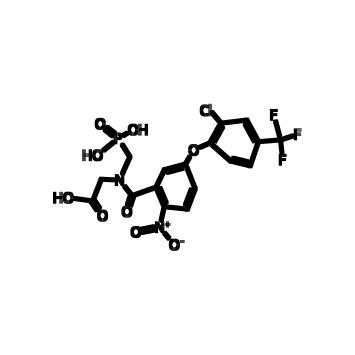 O=C(O)CN(CP(=O)(O)O)C(=O)c1cc(Oc2ccc(C(F)(F)F)cc2Cl)ccc1[N+](=O)[O-]